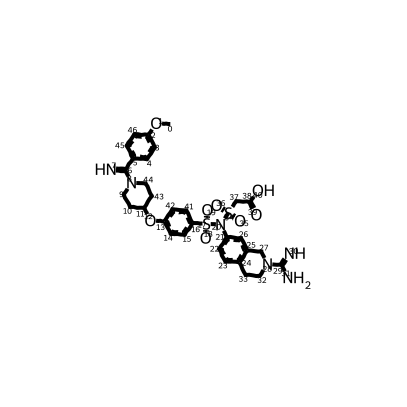 COc1ccc(C(=N)N2CCC(Oc3ccc(S(=O)(=O)N(c4ccc5c(c4)CN(C(=N)N)CC5)S(=O)(=O)CC(=O)O)cc3)CC2)cc1